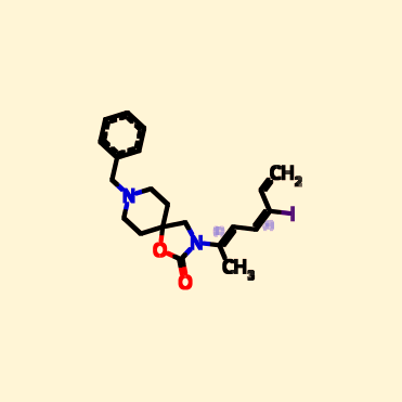 C=C/C(I)=C\C=C(/C)N1CC2(CCN(Cc3ccccc3)CC2)OC1=O